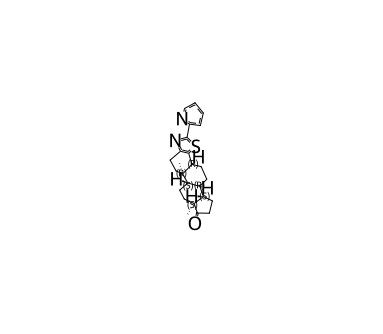 C[C@]12CCc3nc(-c4ccccn4)sc3[C@@H]1CC[C@@H]1[C@@H]2CC[C@]2(C)C(=O)CC[C@@H]12